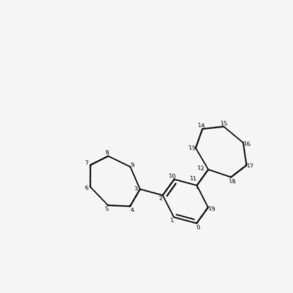 C1=CC(C2CCCCCC2)=C[C](C2CCCCCC2)C1